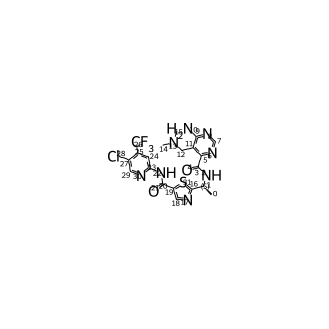 C[C@H](NC(=O)c1ncnc(N)c1CN(C)C)c1ncc(C(=O)Nc2cc(C(F)(F)F)c(Cl)cn2)s1